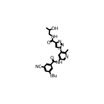 Cc1ncc(NC(=O)c2cc(C#N)cc(C(C)(C)C)c2)cc1-n1cc(C(=O)NCC(C)O)nn1